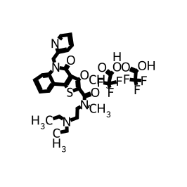 CCN(CC)CCN(C)C(=O)c1sc2c(c1OC)c(=O)n(Cc1ccccn1)c1ccccc21.O=C(O)C(F)(F)F.O=C(O)C(F)(F)F